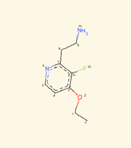 CCOc1ccnc(CCN)c1F